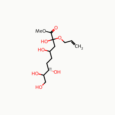 C=CCOC(O)(CC(O)CC[C@H](O)C(O)CO)C(=O)OC